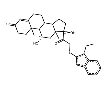 CCn1c(SCC(=O)[C@@]2(O)CCC3C4CCC5=CC(=O)CCC5(C)C4[C@@H](O)CC32C)nc2ccccc21